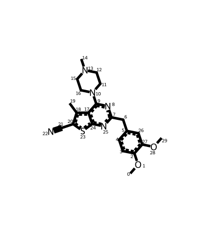 COc1ccc(Cc2nc(N3CCN(C)CC3)c3c(C)c(C#N)sc3n2)cc1OC